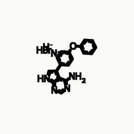 Br.Nc1ncnc2[nH]cc(-c3ccc(Oc4ccccc4)cc3)c12.[H-].[Na+]